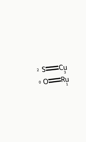 [O]=[Ru].[S]=[Cu]